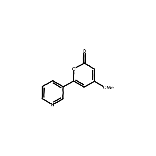 COc1cc(-c2cccnc2)oc(=O)c1